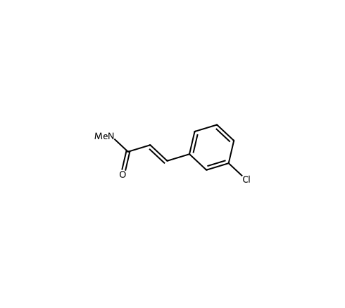 CNC(=O)/C=C/c1cccc(Cl)c1